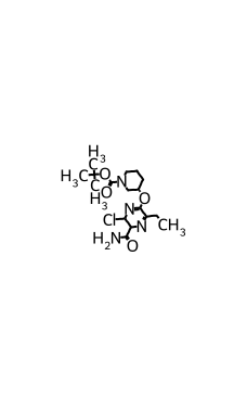 CCC1=NC(C(N)=O)C(Cl)N=C1O[C@@H]1CCCN(C(=O)OC(C)(C)C)C1